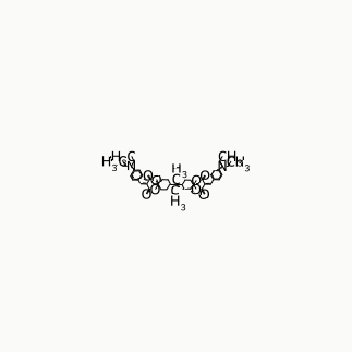 CCN(CC)c1ccc(C=C2C(=O)OC3(CCC(C(C)(C)C4CCC5(CC4)OC(=O)C(=Cc4ccc(N(CC)CC)cc4)C(=O)O5)CC3)OC2=O)cc1